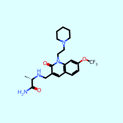 C[C@H](NCc1cc2ccc(OC(F)(F)F)cc2n(CCN2CCCCC2)c1=O)C(N)=O